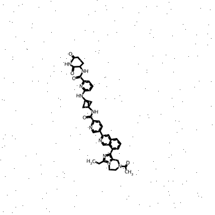 CCc1nc(-c2cccc3cc(-c4ccc(C(=O)NC56CC(Nc7cccc(C(=O)NC8CCC(=O)NC8=O)n7)(C5)C6)nc4)ncc23)c2n1CCN(C(C)=O)C2